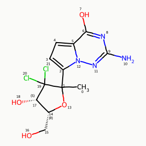 CC1(c2ccc3c(O)nc(N)nn23)O[C@H](CO)[C@H](O)C1(Cl)Cl